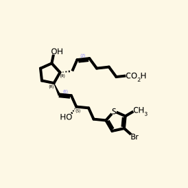 Cc1sc(CC[C@H](O)/C=C/[C@H]2CCC(O)[C@@H]2C/C=C\CCCC(=O)O)cc1Br